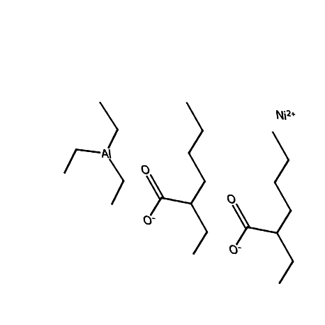 CCCCC(CC)C(=O)[O-].CCCCC(CC)C(=O)[O-].C[CH2][Al]([CH2]C)[CH2]C.[Ni+2]